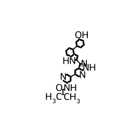 CC(C)C(=O)Nc1cncc(-c2cnc3[nH]nc(-c4cc5c(-c6cccc(O)c6)cccc5[nH]4)c3c2)c1